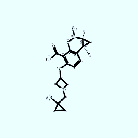 NC1(CN2CC(Oc3ccc4c(c3C(=O)O)OB(O)[C@H]3C[C@@H]43)C2)CC1